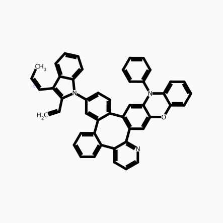 C=Cc1c(/C=C\C)c2ccccc2n1-c1ccc2c(c1)c1ccccc1c1cccnc1c1cc3oc4ccccc4n(-c4ccccc4)c3cc21